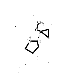 COC1([C@@H]2CCCN2)CC1